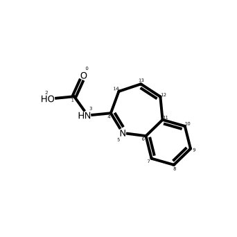 O=C(O)NC1=Nc2ccccc2C=CC1